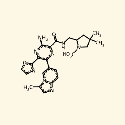 Cc1cnc2ccc(-c3nc(C(=O)NCC4CC(C)(C)CN4C(=O)O)c(N)nc3-c3ncco3)cn12